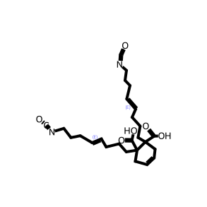 O=C=NCCC/C=C/CCCC1(C(=O)O)CC=CCC1(CCC/C=C/CCCN=C=O)C(=O)O